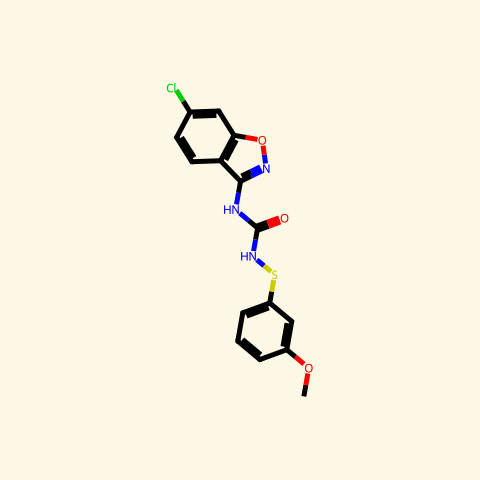 COc1cccc(SNC(=O)Nc2noc3cc(Cl)ccc23)c1